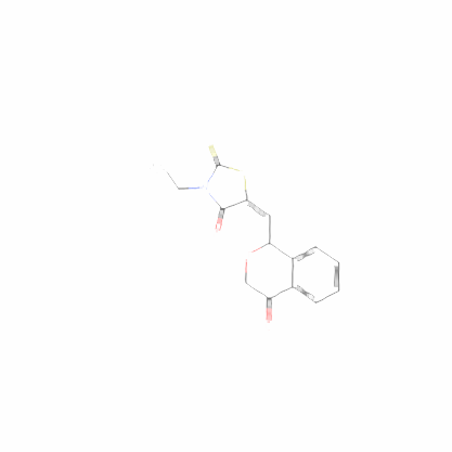 O=C(O)CN1C(=O)C(=CC2OCC(=O)c3ccccc32)SC1=S